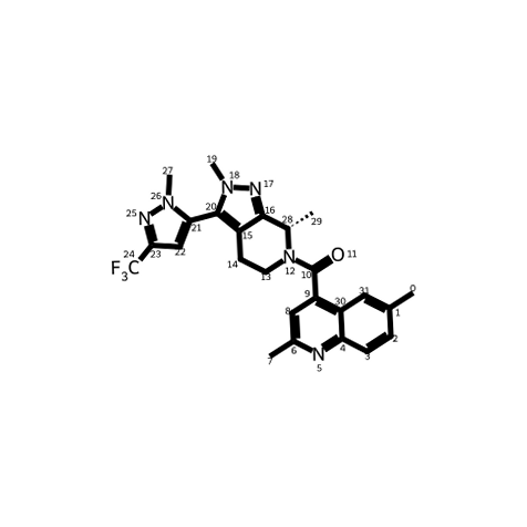 Cc1ccc2nc(C)cc(C(=O)N3CCc4c(nn(C)c4-c4cc(C(F)(F)F)nn4C)[C@@H]3C)c2c1